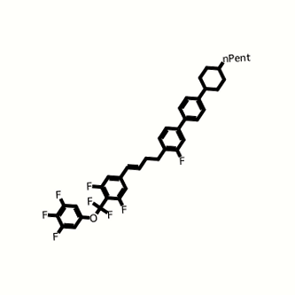 CCCCCC1CCC(c2ccc(-c3ccc(CC/C=C/c4cc(F)c(C(F)(F)Oc5cc(F)c(F)c(F)c5)c(F)c4)c(F)c3)cc2)CC1